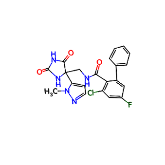 Cn1nccc1C1(CNC(=O)c2c(Cl)cc(F)cc2-c2ccccc2)NC(=O)NC1=O